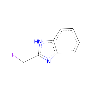 ICc1nc2ccccc2[nH]1